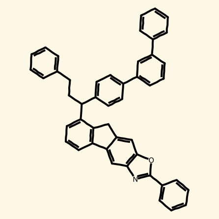 c1ccc(CCC(c2ccc(-c3cccc(-c4ccccc4)c3)cc2)c2cccc3c2Cc2cc4oc(-c5ccccc5)nc4cc2-3)cc1